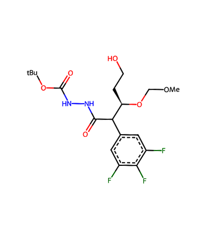 COCO[C@H](CCO)C(C(=O)NNC(=O)OC(C)(C)C)c1cc(F)c(F)c(F)c1